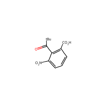 CC(C)(C)C(=O)c1c(C(=O)O)cccc1[N+](=O)[O-]